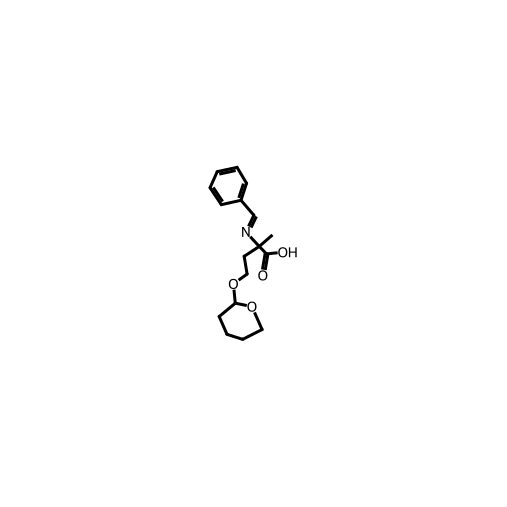 CC(CCOC1CCCCO1)(/N=C/c1ccccc1)C(=O)O